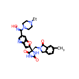 CCN1CCN(C(=NO)c2cnc3cc([C@]4(CN5Cc6ccc(C)cc6C5=O)NC(=O)NC4=O)oc3c2)CC1